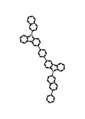 c1ccc(-c2ccc3cc(-n4c5ccccc5c5cc(-c6ccc(-c7ccc8c(c7)c7ccccc7n8-c7ccc8ccccc8c7)cc6)ccc54)ccc3c2)cc1